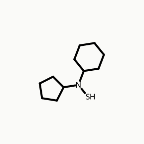 SN(C1CCCCC1)C1CCCC1